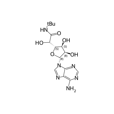 CC(C)(C)NC(=O)C(O)[C@H]1O[C@@H](n2cnc3c(N)ncnc32)[C@H](O)[C@@H]1O